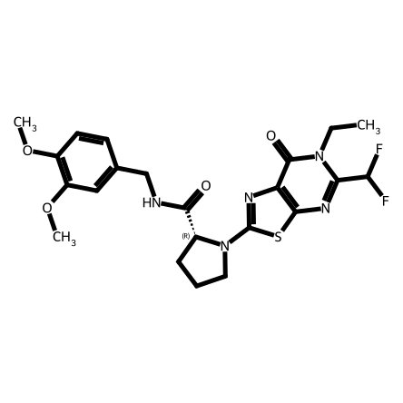 CCn1c(C(F)F)nc2sc(N3CCC[C@@H]3C(=O)NCc3ccc(OC)c(OC)c3)nc2c1=O